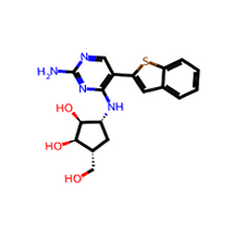 Nc1ncc(-c2cc3ccccc3s2)c(N[C@@H]2C[C@H](CO)[C@@H](O)[C@H]2O)n1